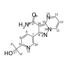 CC(C)(O)c1ccc(-c2nn3cccnc3c2C(N)=O)cn1